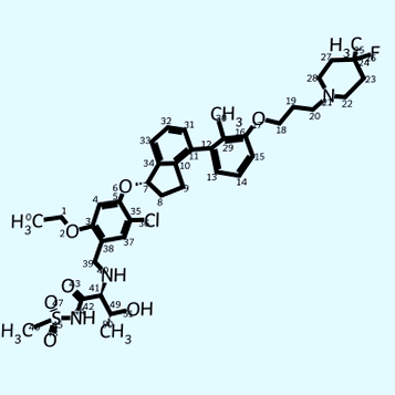 CCOc1cc(O[C@H]2CCc3c(-c4cccc(OCCCN5CCC(C)(F)CC5)c4C)cccc32)c(Cl)cc1CN[C@H](C(=O)NS(C)(=O)=O)[C@@H](C)O